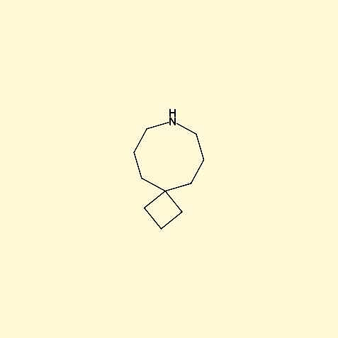 C1CNCCCC2(C1)CCC2